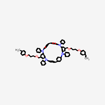 C=Cc1ccc(OCCCCOCc2cc3cc(c2)n(-c2ccccc2)c2ccc(cc2)c2ccc(cc2)n(-c2ccccc2)c2cc(COCCCCOc4ccc(C)cc4)cc(c2)n(-c2ccccc2)c2ccc(cc2)c2ccc(cc2)n3-c2ccccc2)cc1